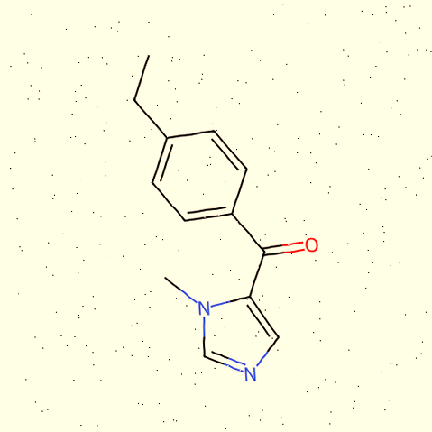 CCc1ccc(C(=O)c2cncn2C)cc1